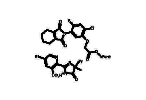 CCCCCOC(=O)COc1cc(N2C(=O)C3=C(CCCC3)C2=O)c(F)cc1Cl.CCc1cnc(C2=NC(C)(C(C)C)C(=O)N2)c(C(=O)O)c1